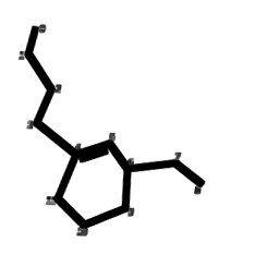 CCCCC1=CC(CC)CCC1